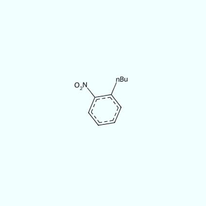 CCCCc1ccccc1[N+](=O)[O-]